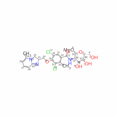 CO[C@H]1O[C@H](CO)[C@@H](O)[C@H](O)[C@H]1NC(=O)c1cc(Cl)c(OCC2CN3C(C)=CC=CC3=N2)c(Cl)c1C